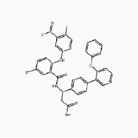 Cc1ccc(Nc2ccc(Cl)cc2C(=O)NC(CC(=O)O)c2ccc(-c3ccccc3Oc3ccccc3)cc2)cc1[N+](=O)[O-]